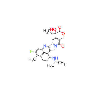 CCC1(O)C(=O)OCc2c1cc1n(c2=O)Cc2c-1nc1cc(F)c(C)c3c1c2C(NC(C)C)CC3